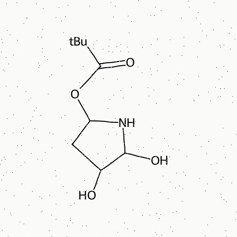 CC(C)(C)C(=O)OC1CC(O)C(O)N1